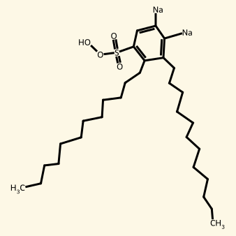 CCCCCCCCCCCCc1c(S(=O)(=O)OO)c[c]([Na])[c]([Na])c1CCCCCCCCCCCC